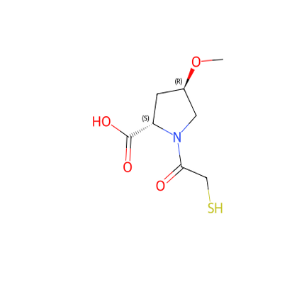 CO[C@@H]1C[C@@H](C(=O)O)N(C(=O)CS)C1